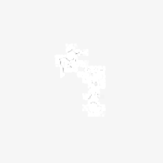 Cl.O=c1ccc2ccc(=O)n3c2n1C[C@H]3CN1CCC(NCc2cc3c(cn2)OCCC3)CC1